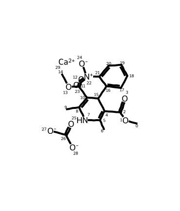 COC(=O)C1=C(C)NC(C)=C(C(=O)OC)C1c1ccccc1[N+](=O)[O-].O=C([O-])[O-].[Ca+2]